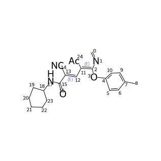 C=N/C(Oc1ccc(C)cc1)=C(/C=C(\C#N)C(=O)NC1CCCCC1)C(C)=O